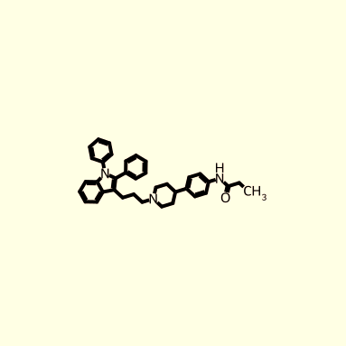 CCC(=O)Nc1ccc(C2CCN(CCCc3c(-c4ccccc4)n(-c4ccccc4)c4ccccc34)CC2)cc1